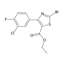 CCOC(=O)c1sc(Br)nc1-c1ccc(F)c(Cl)c1